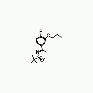 CCCOc1cc(/C(C)=N/[S@@+]([O-])C(C)(C)C)ccc1F